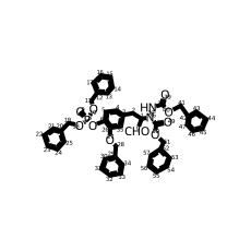 O=CC(Cc1ccc(OP(=O)(OCc2ccccc2)OCc2ccccc2)c(OCc2ccccc2)c1)N(NC(=O)OCc1ccccc1)C(=O)OCc1ccccc1